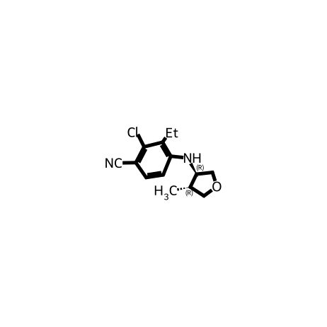 CCc1c(N[C@H]2COC[C@@H]2C)ccc(C#N)c1Cl